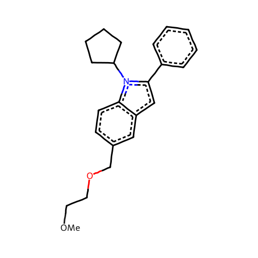 COCCOCc1ccc2c(c1)cc(-c1ccccc1)n2C1CCCC1